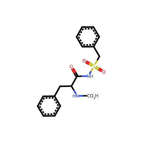 O=C(O)NC(Cc1ccccc1)C(=O)NS(=O)(=O)Cc1ccccc1